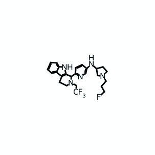 FCCCN1CCC(Nc2ccc(C3c4[nH]c5ccccc5c4CCN3CC(F)(F)F)nc2)C1